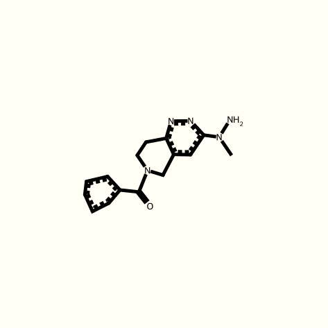 CN(N)c1cc2c(nn1)CCN(C(=O)c1ccccc1)C2